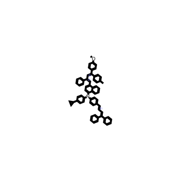 COc1ccc(/C(=C/C(=C/c2ccc(N(c3ccc(/C=C/C=C(c4ccccc4)c4ccccc4)cc3)c3ccc(C4CC4)cc3)c3ccccc23)c2ccccc2)c2ccc(C)cc2)cc1